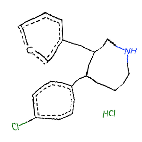 Cl.Clc1ccc(C2CCNCC2c2ccccc2)cc1